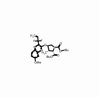 C=CC(F)(F)c1nc2ccc(OC)cc2nc1O[C@H]1CN(C(=O)OC(C)(C)C)[C@H](C(=O)OCC(C)C)[C@@H]1C